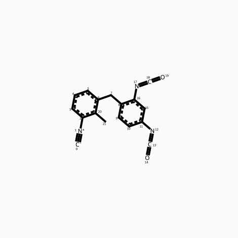 [C-]#[N+]c1cccc(Cc2ccc(N=C=O)cc2N=C=O)c1C